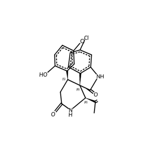 C=C(C)[C@H]1NC(=O)C[C@@H](c2cc(Cl)ccc2O)[C@]12C(=O)Nc1cc(Cl)ccc12